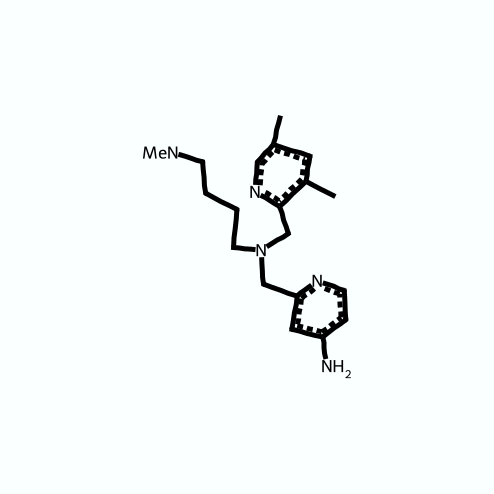 CNCCCCN(Cc1cc(N)ccn1)Cc1ncc(C)cc1C